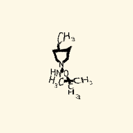 CC1CCN(C(=N)OC(C)(C)C)CC1